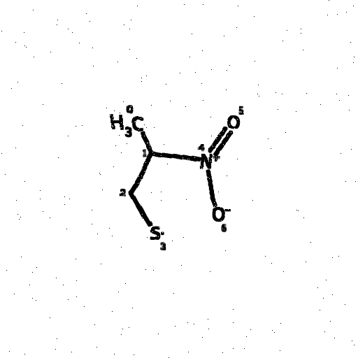 CC(C[S])[N+](=O)[O-]